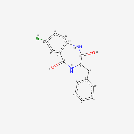 O=C1NC(Cc2ccccc2)C(=O)Nc2ccc(Br)cc21